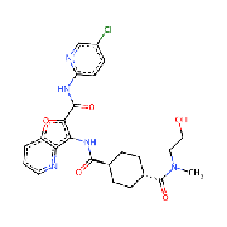 CN(CCO)C(=O)[C@H]1CC[C@H](C(=O)Nc2c(C(=O)Nc3ccc(Cl)cn3)oc3cccnc23)CC1